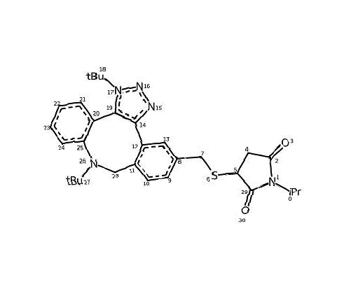 CC(C)N1C(=O)CC(SCc2ccc3c(c2)-c2nnn(C(C)(C)C)c2-c2ccccc2N(C(C)(C)C)C3)C1=O